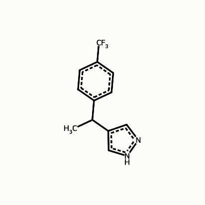 CC(c1ccc(C(F)(F)F)cc1)c1cn[nH]c1